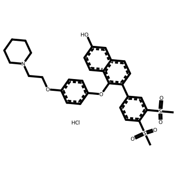 CS(=O)(=O)c1ccc(-c2ccc3cc(O)ccc3c2Oc2ccc(OCCN3CCCCC3)cc2)cc1S(C)(=O)=O.Cl